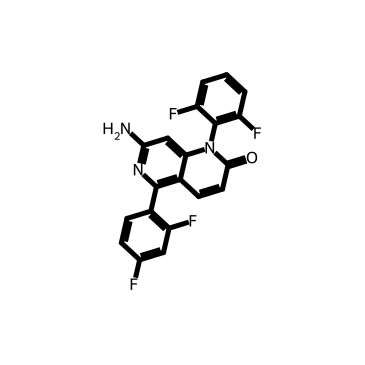 Nc1cc2c(ccc(=O)n2-c2c(F)cccc2F)c(-c2ccc(F)cc2F)n1